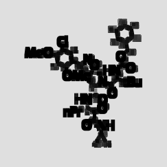 CCC[C@H](NC(=O)[C@@H]1C[C@]2(CC(c3cc(Cl)c(OC)cc3OC)=NO2)CN1C(=O)[C@@H](NC(=O)OCc1ccccc1)C(C)(C)C)C(=O)C(=O)NC1CC1